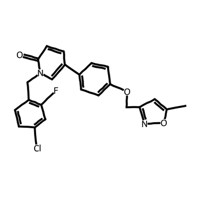 Cc1cc(COc2ccc(-c3ccc(=O)n(Cc4ccc(Cl)cc4F)c3)cc2)no1